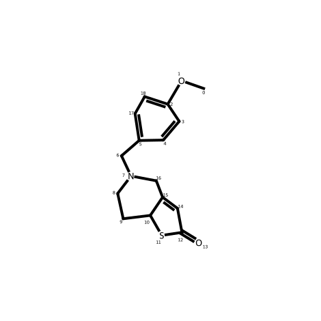 COc1ccc(CN2CCC3SC(=O)C=C3C2)cc1